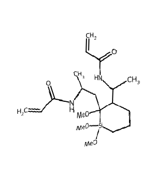 C=CC(=O)NC(C)CC1(OC)C(C(C)NC(=O)C=C)CCC[Si]1(OC)OC